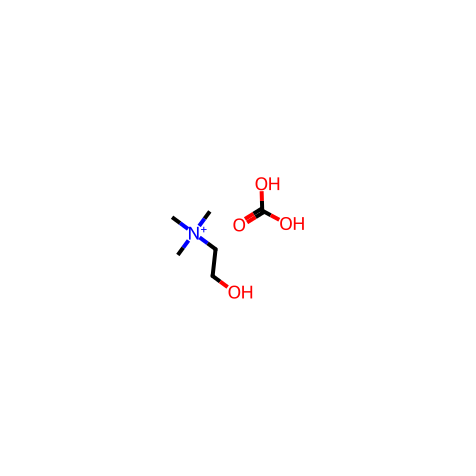 C[N+](C)(C)CCO.O=C(O)O